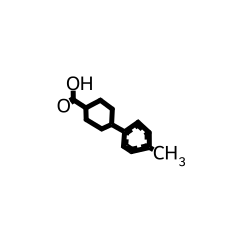 Cc1ccc(C2CCC(C(=O)O)CC2)cc1